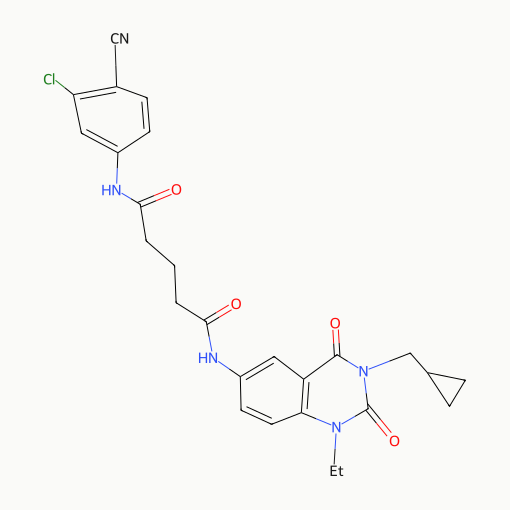 CCn1c(=O)n(CC2CC2)c(=O)c2cc(NC(=O)CCCC(=O)Nc3ccc(C#N)c(Cl)c3)ccc21